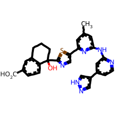 Cc1cc(Nc2cc(-c3cn[nH]c3)ccn2)nc(-c2cnc(C3(O)CCCc4cc(C(=O)O)ccc43)s2)c1